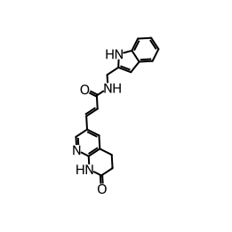 O=C(C=Cc1cnc2c(c1)CCC(=O)N2)NCc1cc2ccccc2[nH]1